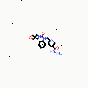 NNC(=O)c1ccc(CN(C(=O)N2CC3(COC3)C2)c2ccccc2)nc1